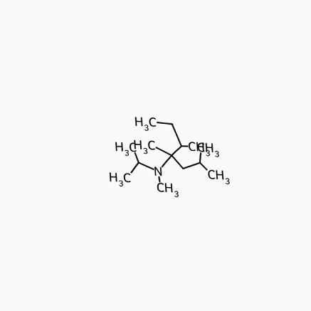 CCC(C)C(C)(CC(C)C)N(C)C(C)C